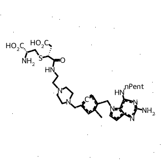 CCCCCNc1nc(N)nc2ccn(Cc3ccc(CN4CCN(CCNC(=O)[C@@H](CC(=O)O)SC[C@H](N)C(=O)O)CC4)cc3C)c12